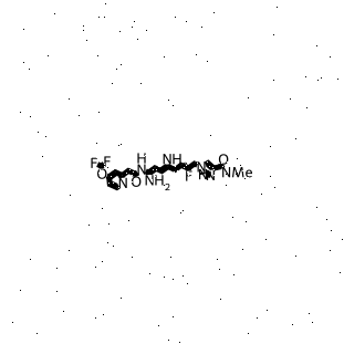 CNC(=O)c1cn(CC(F)CC/C(N)=C/C=C(\N)NC(=O)Cc2cc(OC(F)F)ccn2)nn1